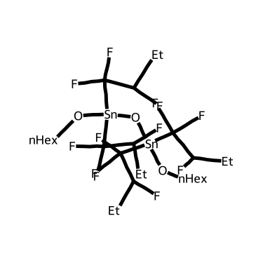 CCCCCC[O][Sn]([O][Sn]([O]CCCCCC)([C](F)(F)C(F)CC)[C](F)(F)C(F)CC)([C](F)(F)C(F)CC)[C](F)(F)C(F)CC